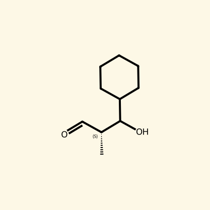 C[C@H](C=O)C(O)C1CCCCC1